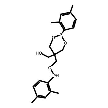 Cc1ccc(POCC2(CO)COP(c3ccc(C)cc3C)OC2)c(C)c1